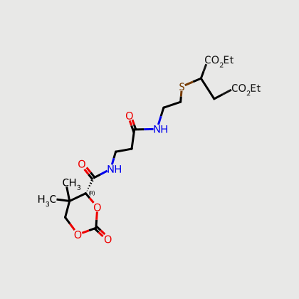 CCOC(=O)CC(SCCNC(=O)CCNC(=O)[C@@H]1OC(=O)OCC1(C)C)C(=O)OCC